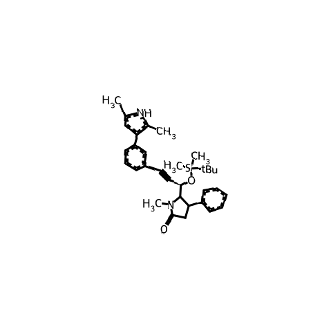 Cc1cc(-c2cccc(C#C[C@@H](O[Si](C)(C)C(C)(C)C)C3C(c4ccccc4)CC(=O)N3C)c2)c(C)[nH]1